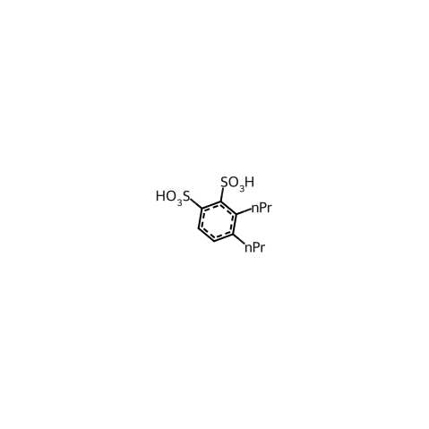 CCCc1ccc(S(=O)(=O)O)c(S(=O)(=O)O)c1CCC